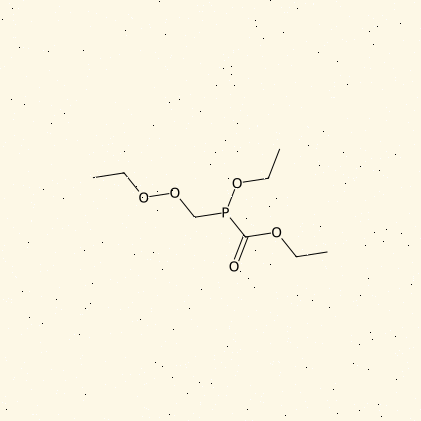 CCOOCP(OCC)C(=O)OCC